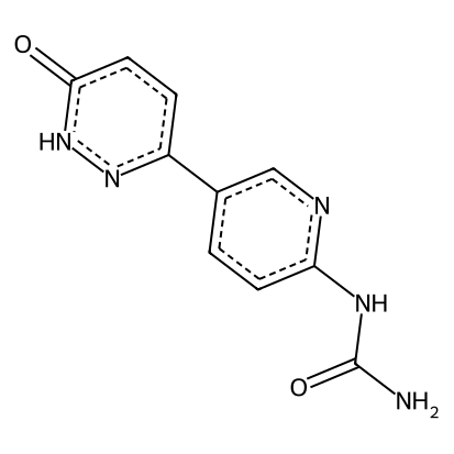 NC(=O)Nc1ccc(-c2ccc(=O)[nH]n2)cn1